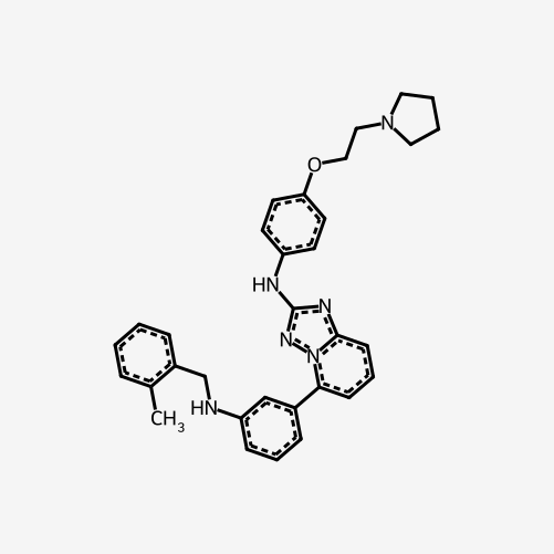 Cc1ccccc1CNc1cccc(-c2cccc3nc(Nc4ccc(OCCN5CCCC5)cc4)nn23)c1